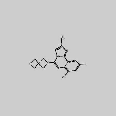 CC(=O)c1cc(C)cc2c1nc(N1CC3(COC3)C1)n1cc(C(F)(F)F)nc21